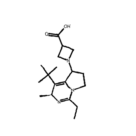 CCC1=N[C@@H](C)C(C(C)(C)C)=C2C(N3CC(C(=O)O)C3)CCN12